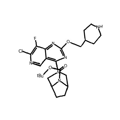 CC(C)(C)OC(=O)N1C2CCC1CN(c1nc(OCC3CCNCC3)nc3c(F)c(Cl)ncc13)C2